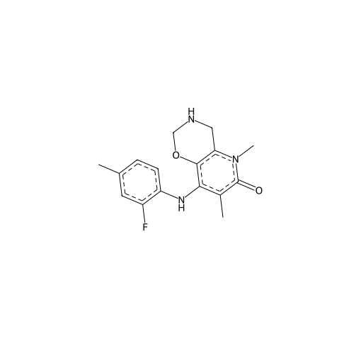 Cc1ccc(Nc2c3c(n(C)c(=O)c2C)CNCO3)c(F)c1